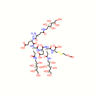 N[C@@H](CCC(=O)NC[C@H](O)[C@@H](O)[C@H](O)[C@H](O)CO)C(=O)N[C@H](CCC(=O)O)C(=O)N[C@@H](CCC(=O)NC[C@H](O)[C@@H](O)[C@H](O)[C@H](O)CO)C(=O)N[C@H](CCC(=O)O)C(=O)N[C@@H](CCC(=O)NC[C@H](O)[C@@H](O)[C@H](O)[C@H](O)CO)C(=O)N[C@H](CSSCCOC=O)C(=O)O